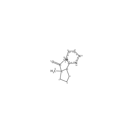 CC1(C(=O)O)CCCC1c1cccnn1